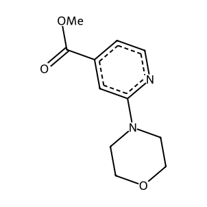 COC(=O)c1ccnc(N2CCOCC2)c1